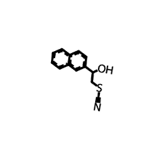 N#CSCC(O)c1ccc2ccccc2c1